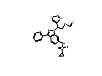 O=COCC(c1cscn1)n1nc(-c2ccccc2)c2ccc(NS(=O)(=O)C3CC3)cc21